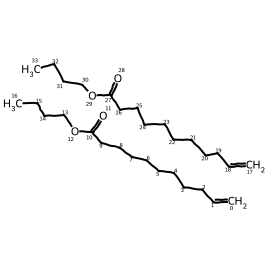 C=CCCCCCCCCC(=O)OCCCC.C=CCCCCCCCCC(=O)OCCCC